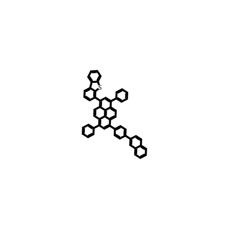 c1ccc(-c2cc(-c3ccc(-c4ccc5ccccc5c4)cc3)c3ccc4c(-c5ccccc5)cc(-c5cccc6c5sc5ccccc56)c5ccc2c3c45)cc1